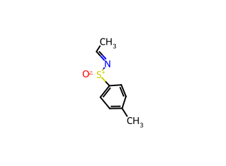 C/C=N/[S@@+]([O-])c1ccc(C)cc1